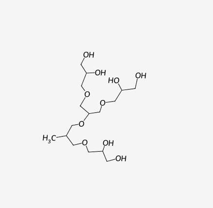 CC(COCC(O)CO)COC(COCC(O)CO)COCC(O)CO